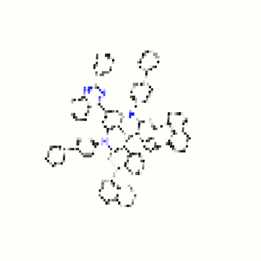 c1ccc(-c2ccc(N3c4cc(-c5nc(-c6ccccc6)nc6ccccc56)cc5c4B(c4c3cc3c6cccc7cccc(c8cccc4c83)c76)c3c(cc4c6cccc7cccc(c8cccc3c84)c76)N5c3ccc(-c4ccccc4)cc3)cc2)cc1